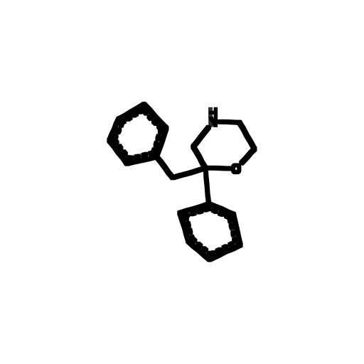 c1ccc(CC2(c3ccccc3)CNCCO2)cc1